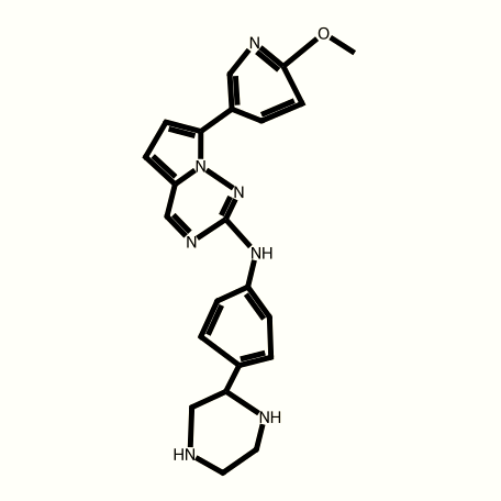 COc1ccc(-c2ccc3cnc(Nc4ccc(C5CNCCN5)cc4)nn23)cn1